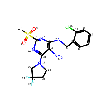 CCS(=O)(=O)c1nc(NCc2ccccc2Cl)c(N)c(N2CCC(F)(F)C2)n1